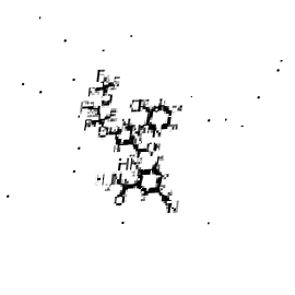 Cc1cc(C#N)cc(C(N)=O)c1NC(=O)c1cc(OC(F)(F)C(F)OC(F)(F)F)nn1-c1ncccc1Cl